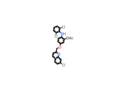 CC(=O)Oc1cc(OCc2ccc3ccc(Cl)cc3n2)ccc1Nc1c(Cl)cccc1Cl